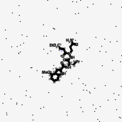 CCOC(=O)/C=C/C(=O)N(CCC(N)=O)NC(=O)[C@H](CC(C)C)NC(=O)c1cc2c(OC)cccc2[nH]1